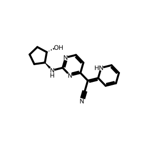 N#CC(=C1C=CC=CN1)c1ccnc(N[C@H]2CCC[C@@H]2O)n1